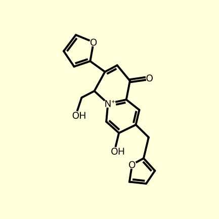 O=C1C=C(c2ccco2)C(CO)[n+]2cc(O)c(Cc3ccco3)cc21